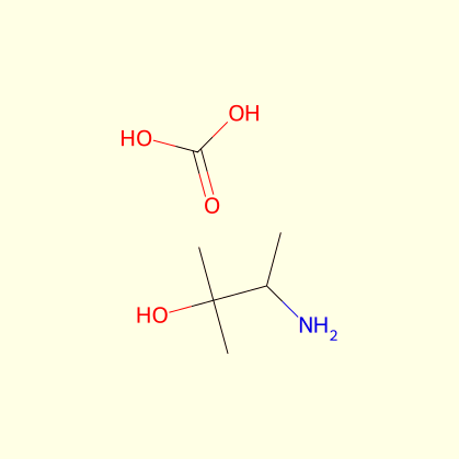 CC(N)C(C)(C)O.O=C(O)O